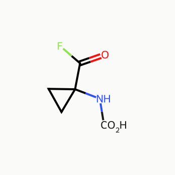 O=C(O)NC1(C(=O)F)CC1